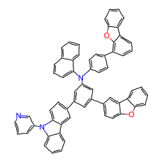 c1cncc(-n2c3ccccc3c3cc(-c4cc(-c5ccc6oc7ccccc7c6c5)cc(N(c5ccc(-c6cccc7c6oc6ccccc67)cc5)c5cccc6ccccc56)c4)ccc32)c1